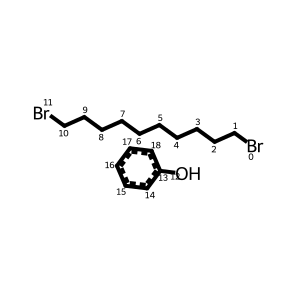 BrCCCCCCCCCCBr.Oc1ccccc1